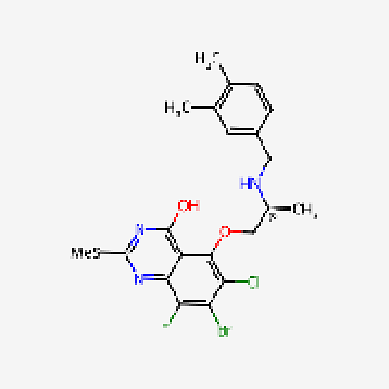 CSc1nc(O)c2c(OC[C@H](C)NCc3ccc(C)c(C)c3)c(Cl)c(Br)c(F)c2n1